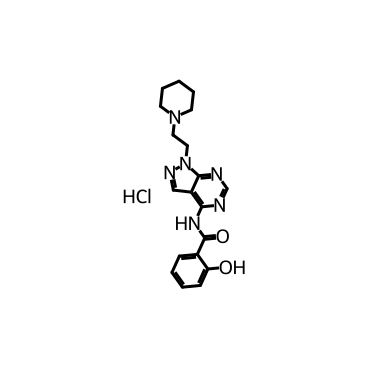 Cl.O=C(Nc1ncnc2c1cnn2CCN1CCCCC1)c1ccccc1O